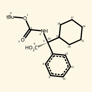 CC(C)(C)OC(=O)N[C@](C(=O)O)(c1ccccc1)C1CCCCC1